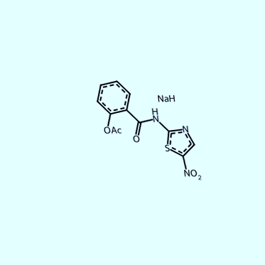 CC(=O)Oc1ccccc1C(=O)Nc1ncc([N+](=O)[O-])s1.[NaH]